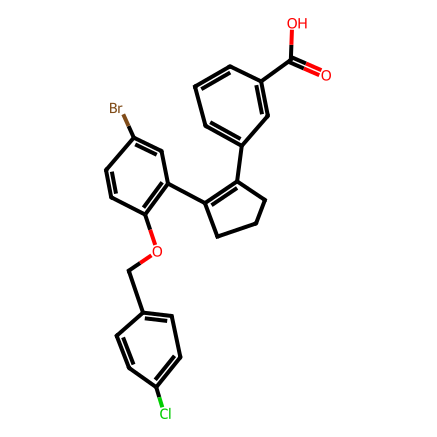 O=C(O)c1cccc(C2=C(c3cc(Br)ccc3OCc3ccc(Cl)cc3)CCC2)c1